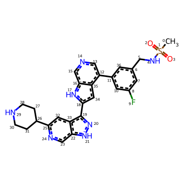 CS(=O)(=O)NCc1cc(F)cc(-c2cncc3[nH]c(-c4n[nH]c5cnc(C6CCNCC6)cc45)cc23)c1